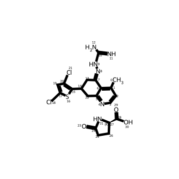 Cc1ccnc2c1C(=NNC(=N)N)CC(c1sc(Cl)cc1Cl)C2.O=C1CC[C@H](C(=O)O)N1